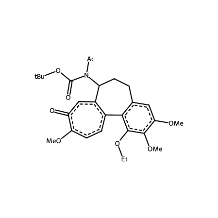 CCOc1c(OC)c(OC)cc2c1-c1ccc(OC)c(=O)cc1C(N(C(C)=O)C(=O)OC(C)(C)C)CC2